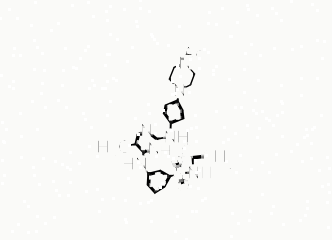 C=C(C)NS(=O)(=O)c1cccc(Nc2nc(Nc3ccc(N4CCN(C(C)=O)CC4)cc3)ncc2C)c1